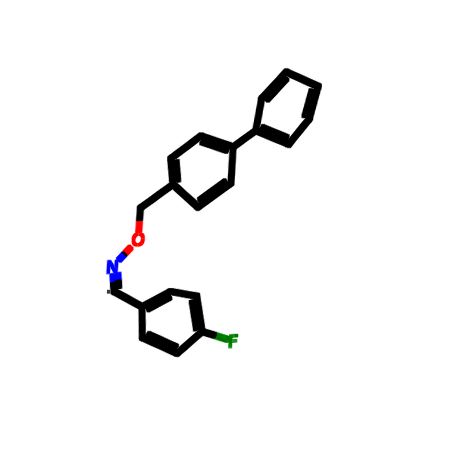 Fc1ccc(/[C]=N\OCc2ccc(-c3ccccc3)cc2)cc1